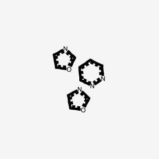 c1ccnnc1.c1cocn1.c1cocn1